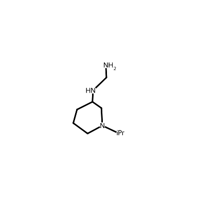 CC(C)N1CCCC(NCN)C1